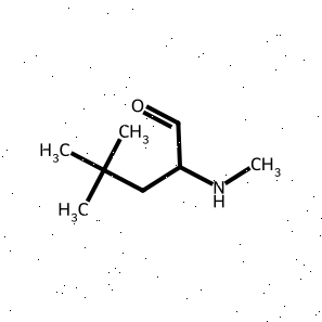 CNC(C=O)CC(C)(C)C